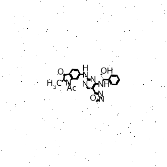 CC(=O)N1c2cc(Nc3ncc(-c4nnco4)c(N[C@H](CO)c4ccccc4)n3)ccc2C(=O)C1C